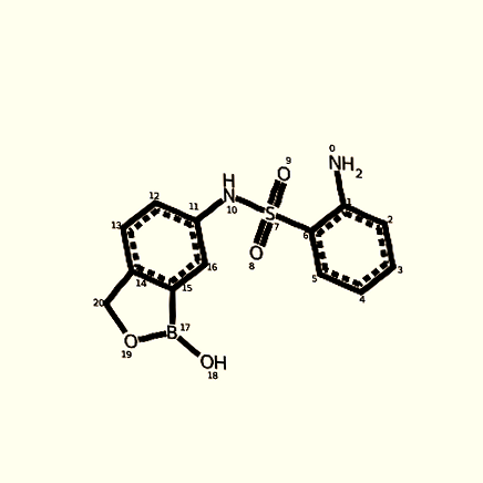 Nc1ccccc1S(=O)(=O)Nc1ccc2c(c1)B(O)OC2